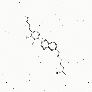 C=CCOc1ccc(-c2cnc3cc(C=CCCCC(C)O)ccc3n2)c(F)c1F